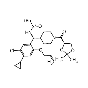 C=CCOc1cc(C2CC2)c(Cl)cc1[C@@H](N[S+]([O-])C(C)(C)C)C1CCN(C(=O)[C@H]2COC(C)(C)O2)CC1